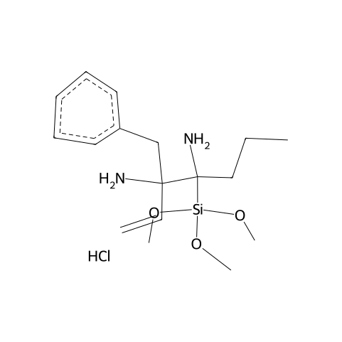 C=CC(N)(Cc1ccccc1)C(N)(CCC)[Si](OC)(OC)OC.Cl